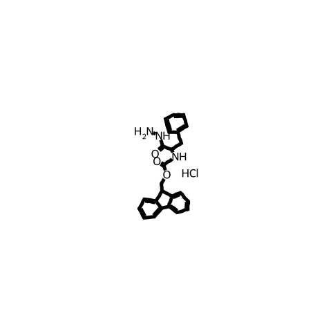 Cl.NNC(=O)C(Cc1ccccc1)NC(=O)OCC1c2ccccc2-c2ccccc21